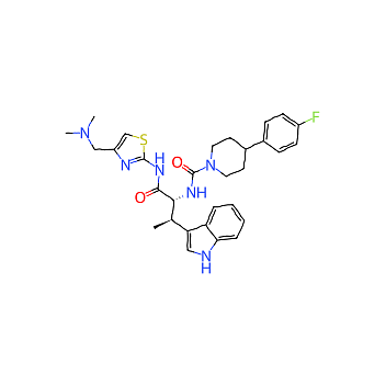 C[C@H](c1c[nH]c2ccccc12)[C@@H](NC(=O)N1CCC(c2ccc(F)cc2)CC1)C(=O)Nc1nc(CN(C)C)cs1